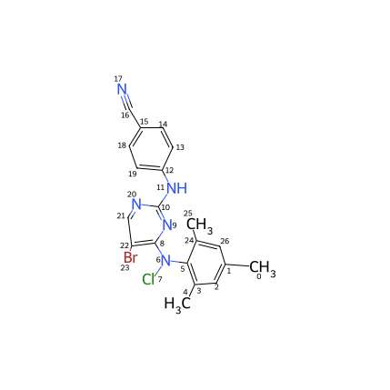 Cc1cc(C)c(N(Cl)c2nc(Nc3ccc(C#N)cc3)ncc2Br)c(C)c1